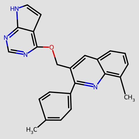 Cc1ccc(-c2nc3c(C)cccc3cc2COc2ncnc3[nH]ccc23)cc1